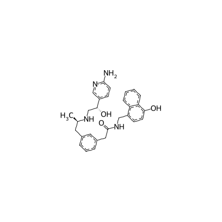 C[C@H](Cc1cccc(CC(=O)NCc2ccc(O)c3ccccc23)c1)NC[C@@H](O)c1ccc(N)nc1